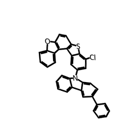 Clc1cc(-n2c3ccccc3c3cc(-c4ccccc4)ccc32)cc2c1sc1ccc3oc4ccccc4c3c12